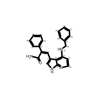 NC(=O)C(=Cc1c[nH]c2nccc(NCc3ccccc3)c12)c1ccccc1